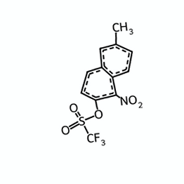 Cc1ccc2c([N+](=O)[O-])c(OS(=O)(=O)C(F)(F)F)ccc2c1